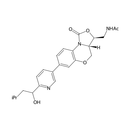 CC(=O)NC[C@@H]1OC(=O)N2c3ccc(-c4ccc(C(O)CC(C)C)nc4)cc3OC[C@@H]12